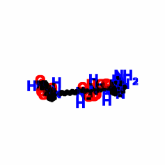 COC(=O)[C@H](CCC(=O)NCCCCCCCCNc1cccc2c1C(=O)N(C1CCC(=O)NC1=O)C2=O)NC(=O)CC[C@H](NC(=O)c1ccc(N(C)Cc2cnc3nc(N)nc(N)c3n2)cc1)C(=O)O